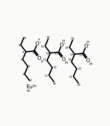 CCCCC(CC)C(=O)[O-].CCCCC(CC)C(=O)[O-].CCCCC(CC)C(=O)[O-].[Eu+3]